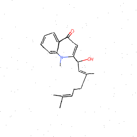 CC(C)=CCC/C(C)=C/C(O)c1cc(=O)c2ccccc2n1C